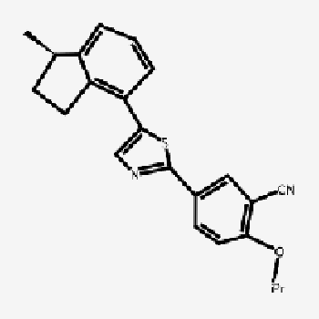 CC(C)Oc1ccc(-c2ncc(-c3cccc4c3CC[C@H]4C)s2)cc1C#N